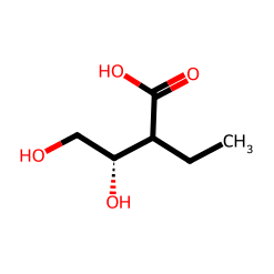 CCC(C(=O)O)[C@H](O)CO